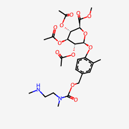 CNCCN(C)C(=O)OCc1ccc(O[C@@H]2O[C@H](C(=O)OC)[C@@H](OC(C)=O)[C@H](OC(C)=O)[C@H]2OC(C)=O)c(C)c1